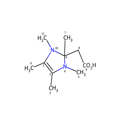 CC1=C(C)N(C)C(C)(CC(=O)O)N1C